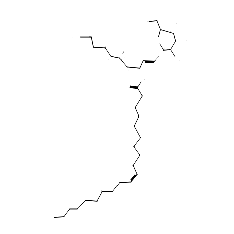 CCCCCCCCCCCCCCCCCC/C=C\CCCCCCCCC(=O)N[C@@H](/C=C/[C@H]1OC(CO)[C@H](O)[C@H](O)C1O)[C@H](O)[C@H](O)CCCCCCCCCCCCCC